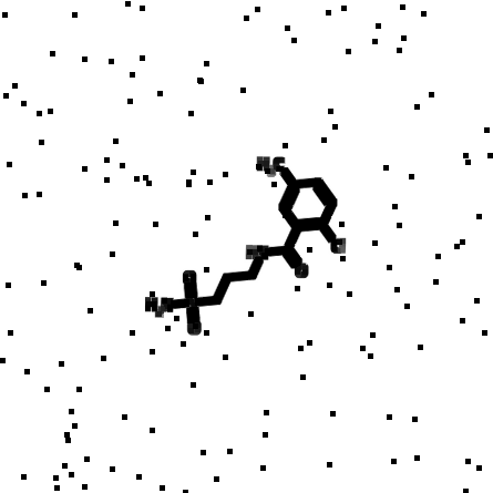 Cc1ccc(Cl)c(C(=O)NCCCS(N)(=O)=O)c1